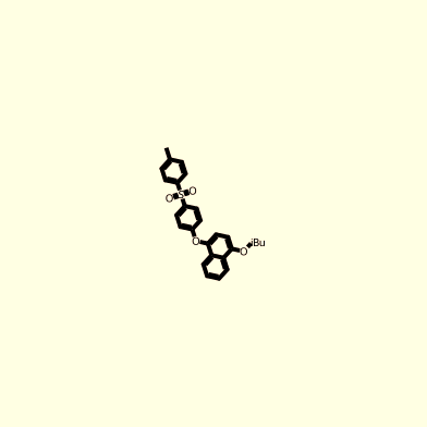 CCC(C)Oc1ccc(Oc2ccc(S(=O)(=O)c3ccc(C)cc3)cc2)c2ccccc12